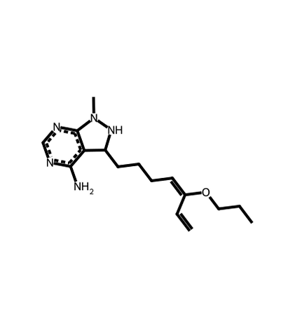 C=C/C(=C\CCCC1NN(C)c2ncnc(N)c21)OCCC